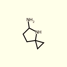 NC1CCC2(CC2)N1